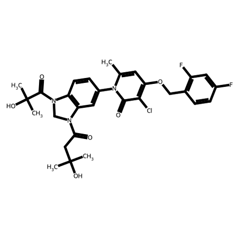 Cc1cc(OCc2ccc(F)cc2F)c(Cl)c(=O)n1-c1ccc2c(c1)N(C(=O)CC(C)(C)O)CN2C(=O)C(C)(C)O